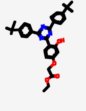 CCOC(=O)COc1ccc(-c2nc(-c3ccc(C(C)(C)C)cc3)nc(-c3ccc(C(C)(C)C)cc3)n2)c(O)c1